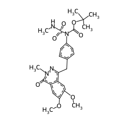 CNS(=O)(=O)N(C(=O)OC(C)(C)C)c1ccc(Cc2nn(C)c(=O)c3cc(OC)c(OC)cc23)cc1